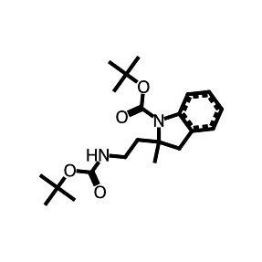 CC(C)(C)OC(=O)NCCC1(C)Cc2ccccc2N1C(=O)OC(C)(C)C